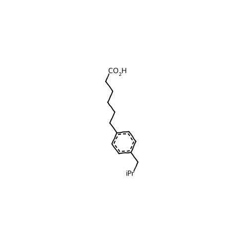 CC(C)Cc1ccc(CCCCCC(=O)O)cc1